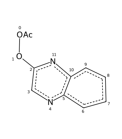 CC(=O)OOc1cnc2ccccc2n1